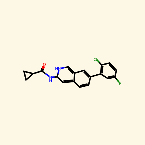 O=C(NC1C=c2ccc(-c3cc(F)ccc3Cl)cc2=CN1)C1CC1